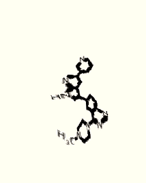 CN1CCN(c2ncnc3ccc(-c4c[nH]c5ncc(-c6cccnc6)cc45)cc23)CC1